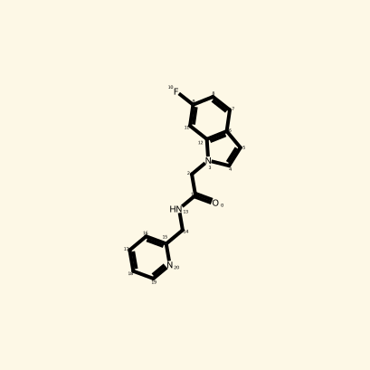 O=C(Cn1ccc2ccc(F)cc21)NCc1ccccn1